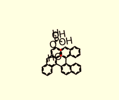 O=[PH](O)O.Oc1ccc2ccccc2c1-c1c(-c2c3ccccc3cc3ccccc23)ccc2ccccc12